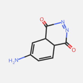 NC1=CC2C(=O)N=NC(=O)C2C=C1